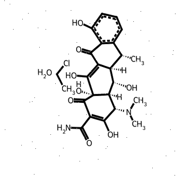 CCCl.C[C@H]1c2cccc(O)c2C(=O)C2=C(O)[C@]3(O)C(=O)C(C(N)=O)=C(O)[C@@H](N(C)C)[C@@H]3[C@@H](O)[C@@H]21.O